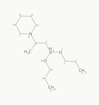 CCCO[SiH](CC(C)N1CCCCC1)OCCC